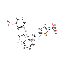 COc1cccc(CN2CCc3cccc(CCc4ccc(C(=O)O)s4)c32)c1